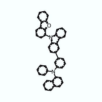 c1ccc(N(c2cccc(-c3ccc4c(c3)c3ccccc3n4-c3cccc4c3oc3ccccc34)c2)c2cccc3ccccc23)cc1